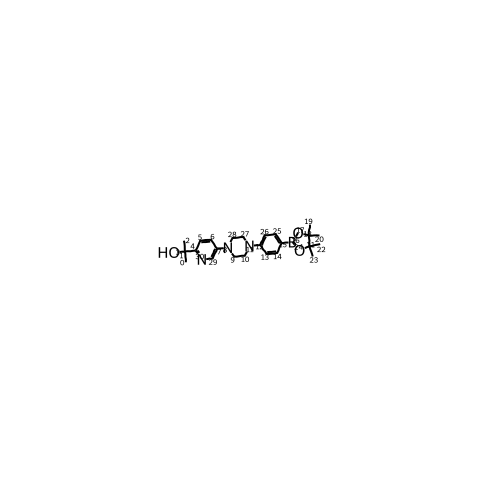 CC(C)(O)c1ccc(N2CCN(c3ccc(B4OC(C)(C)C(C)(C)O4)cc3)CC2)cn1